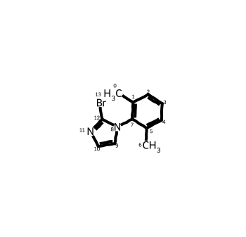 Cc1cccc(C)c1-n1ccnc1Br